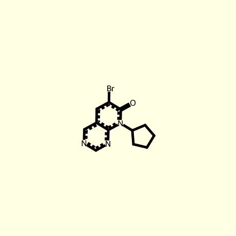 O=c1c(Br)cc2cncnc2n1C1CCCC1